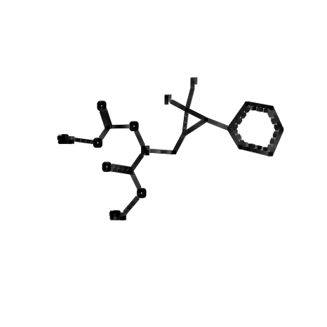 CC(C)(C)OC(=O)ON(CC1C(c2ccccc2)C1(F)F)C(=O)OC(C)(C)C